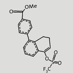 COC(=O)c1ccc(-c2cccc3c2CCC=C3OS(=O)(=O)C(F)(F)F)cc1